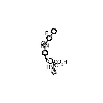 O=C(O)C1(C(=O)NN2CCCC2)CCN(Cc2ccc(-c3noc(-c4ccc(-c5ccccc5)c(F)c4)n3)cc2)CC1